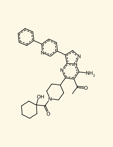 CC(=O)c1c(C2CCN(C(=O)C3(O)CCCCC3)CC2)nc2c(-c3ccc(-c4ccccc4)nc3)cnn2c1N